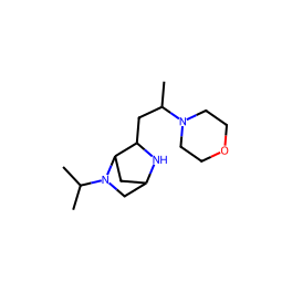 CC(CC1NC2CC1N(C(C)C)C2)N1CCOCC1